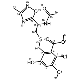 COC(=O)c1c(Cl)c(OC)cc(O)c1CSC[C@H](NC(C)=O)c1nc(C)no1